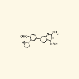 CNc1nc(N)nc2cc(-c3ccc(C=O)c(C4CCCN4)c3)ccc12